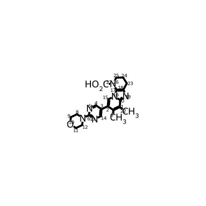 Cc1c(-c2cnc(N3CCOCC3)nc2)cn2c3c(nc2c1C)CCCN3C(=O)O